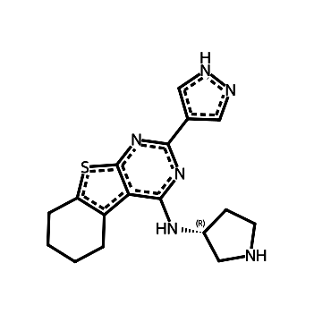 c1n[nH]cc1-c1nc(N[C@@H]2CCNC2)c2c3c(sc2n1)CCCC3